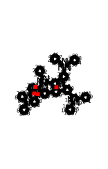 c1ccc(-c2cc(-c3ccc(-n4c5ccc(-c6nc(-c7ccccc7)nc(-c7ccccc7)n6)cc5c5cc(-c6nc(-c7ccccc7)nc(-c7ccccc7)n6)ccc54)c(-c4ccc(-c5ccc(N6c7ccccc7B7c8ccccc8N(c8ccccc8)c8cccc6c87)cc5)cc4)c3)nc(-c3ccccc3)n2)cc1